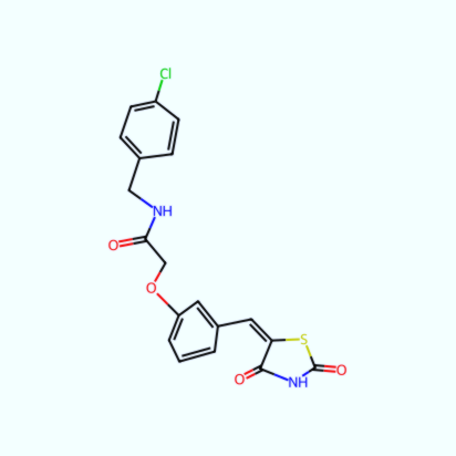 O=C(COc1cccc(/C=C2/SC(=O)NC2=O)c1)NCc1ccc(Cl)cc1